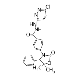 CC1(C)OC(=O)N(c2ccc(C(=O)NNc3ccc(Cl)nn3)cc2)C1c1ccccc1